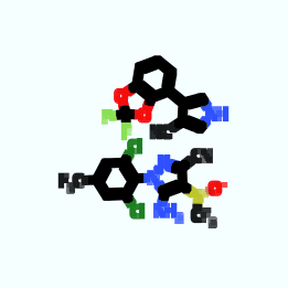 N#Cc1c[nH]cc1-c1cccc2c1OC(F)(F)O2.N#Cc1nn(-c2c(Cl)cc(C(F)(F)F)cc2Cl)c(N)c1[S+]([O-])C(F)(F)F